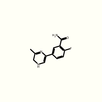 CC1=NC(c2ccc(F)c(C(N)=O)c2)=CNC1